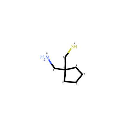 NCC1(CS)CCCC1